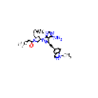 C=CC(=O)N1C[C@@H](n2nc(C#Cc3ccc4c(cnn4C)c3)c3c(N)ncnc32)C[C@@H]1COC